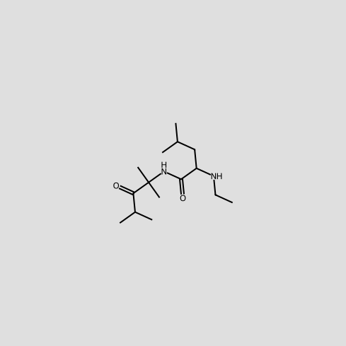 CCNC(CC(C)C)C(=O)NC(C)(C)C(=O)C(C)C